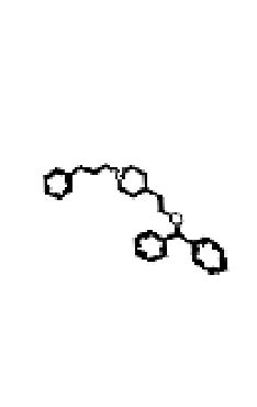 c1ccc(CCCN2CCC(CCOC(c3ccccc3)c3ccccc3)CC2)cc1